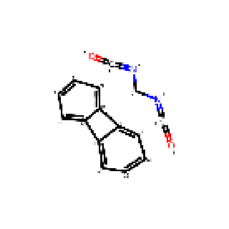 O=C=NCN=C=O.c1ccc2c(c1)-c1ccccc1-2